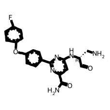 NC[C@H](C=O)Nc1cc(C(N)=O)nc(-c2ccc(Oc3ccc(F)cc3)cc2)n1